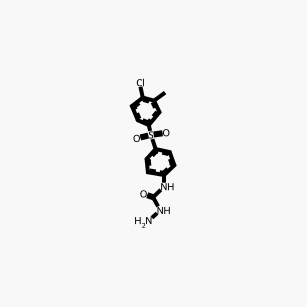 Cc1cc(S(=O)(=O)c2ccc(NC(=O)NN)cc2)ccc1Cl